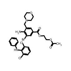 CC(=O)OCCOC(=O)c1cc(Br)c(N)c(CN2CCOCC2)c1.Clc1cccc(Cl)c1Nc1ccccc1